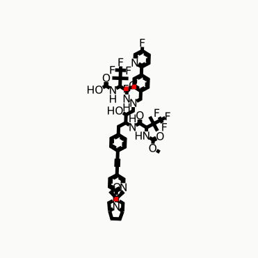 COC(=O)NC(C(=O)NC(Cc1ccc(C#Cc2ccc(N3CC4CCC(C3)N4C3COC3)nc2)cc1)C(O)CN(Cc1ccc(-c2ccc(F)cn2)cc1F)NC(=O)C(NC(=O)O)C(C)(C)C(F)(F)F)C(C)(C)C(F)(F)F